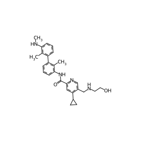 CNc1cccc(-c2cccc(NC(=O)c3cc(C4CC4)c(CNCCO)cn3)c2C)c1C